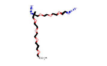 CC(COCCOCCOCCCOCC(=O)O)(COCCOCCOCCN=[N+]=[N-])N=[N+]=[N-]